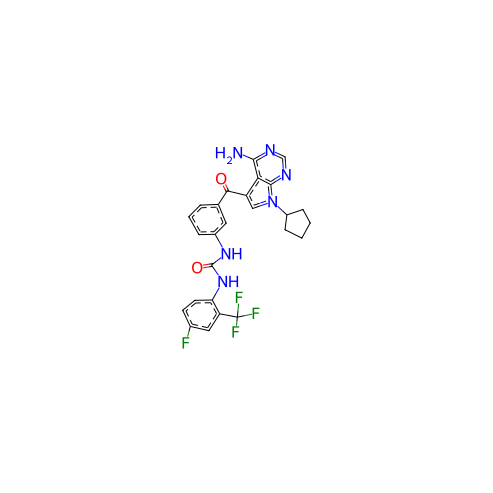 Nc1ncnc2c1c(C(=O)c1cccc(NC(=O)Nc3ccc(F)cc3C(F)(F)F)c1)cn2C1CCCC1